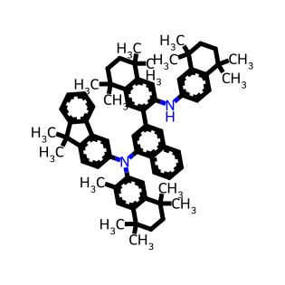 Cc1cc2c(cc1N(c1ccc3c(c1)-c1ccccc1C3(C)C)c1cc(-c3cc4c(cc3Nc3ccc5c(c3)C(C)(C)CCC5(C)C)C(C)(C)CCC4(C)C)cc3ccccc13)C(C)(C)CCC2(C)C